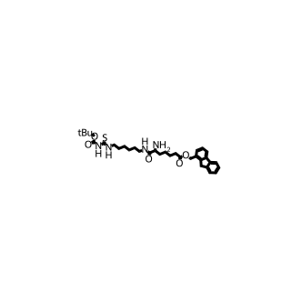 CC(C)(C)OC(=O)NC(=S)NCCCCCCNC(=O)C(N)CCCCC(=O)OCc1cccc2c1Cc1ccccc1-2